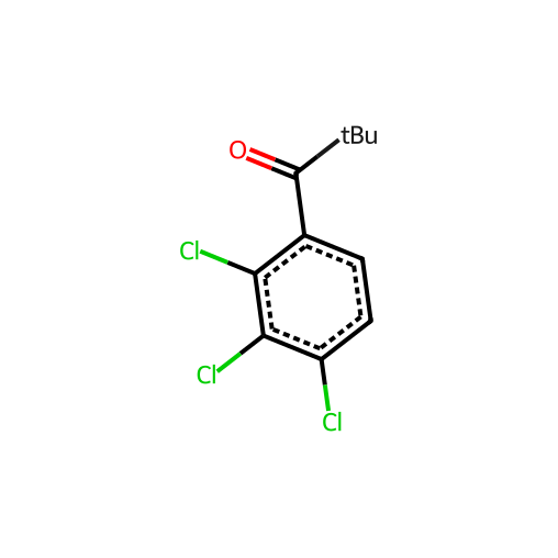 CC(C)(C)C(=O)c1ccc(Cl)c(Cl)c1Cl